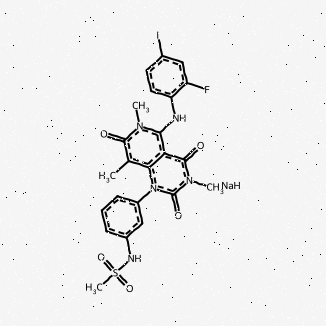 Cc1c(=O)n(C)c(Nc2ccc(I)cc2F)c2c(=O)n(C)c(=O)n(-c3cccc(NS(C)(=O)=O)c3)c12.[NaH]